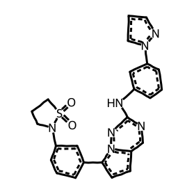 O=S1(=O)CCCN1c1cccc(-c2ccc3cnc(Nc4cccc(-n5cccn5)c4)nn23)c1